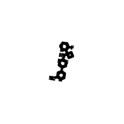 N#Cc1cc(-c2cnc(NC3(c4ncccc4F)CCC3)nc2)ccn1